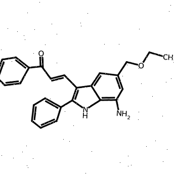 CCOCc1cc(N)c2[nH]c(-c3ccccc3)c(/C=C/C(=O)c3ccccc3)c2c1